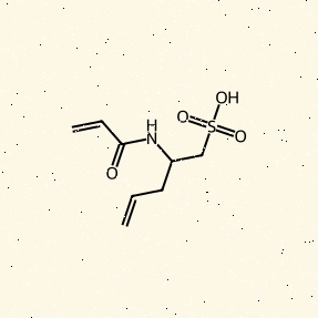 C=CCC(CS(=O)(=O)O)NC(=O)C=C